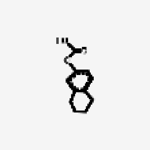 O=C(O)Oc1ccc2c(c1)CCCC2